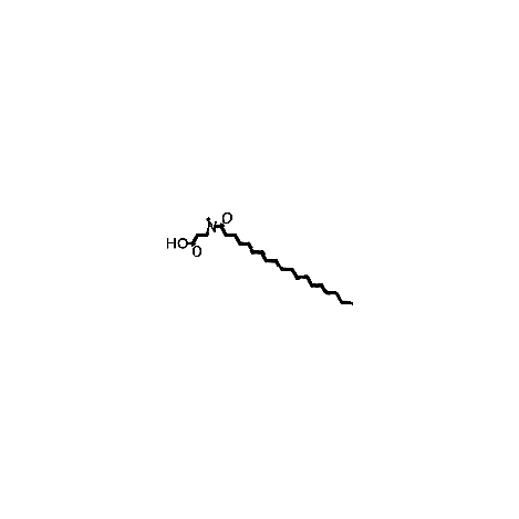 CCCCCCCCCCCCCCCCCCC(=O)N(C)CCC(=O)O